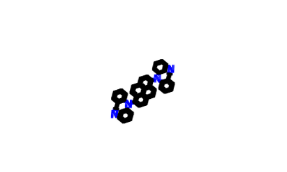 N#Cc1ccccc1N(c1ccccc1)c1ccc2ccc3c(N(c4ccccc4C#N)C4C=CC=CC4)ccc4ccc1c2c43